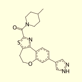 CC1CCN(C(=O)c2nc3c(s2)CCOc2cc(-c4cn[nH]c4)ccc2-3)CC1